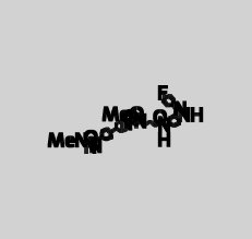 CNc1nnc(-c2ccc(C3CCN(C(=O)CN(CCCC(=O)Nc4ccc5[nH]nc(-c6ccc(F)cc6)c5c4)COC)CC3)cc2)o1